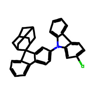 Clc1ccc2c3ccccc3n(-c3ccc4c(c3)C3(c5ccccc5-4)C4CC5CC(C4)CC3C5)c2c1